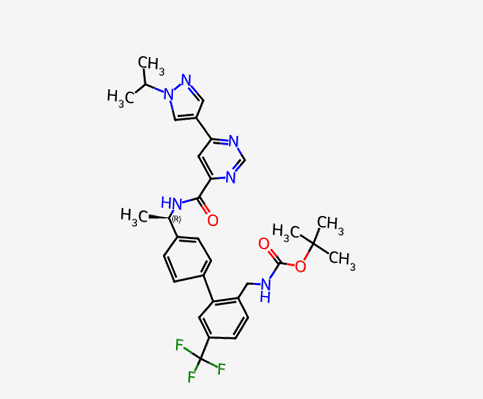 CC(C)n1cc(-c2cc(C(=O)N[C@H](C)c3ccc(-c4cc(C(F)(F)F)ccc4CNC(=O)OC(C)(C)C)cc3)ncn2)cn1